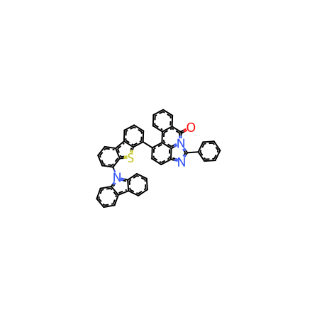 O=c1c2ccccc2c2c(-c3cccc4c3sc3c(-n5c6ccccc6c6ccccc65)cccc34)ccc3nc(-c4ccccc4)n1c32